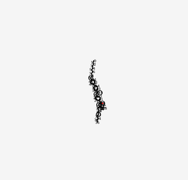 CCCCCCCCCOc1ccc(-c2ccc(C(=O)Oc3ccc(C(=O)OC(CCCOCCCC)C(F)(F)F)cc3)cc2)cc1